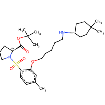 Cc1ccc(S(=O)(=O)N2CCC[C@H]2C(=O)OC(C)(C)C)c(OCCCCCNC2CCC(C)(C)CC2)c1